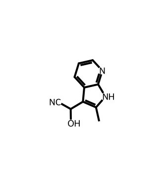 Cc1[nH]c2ncccc2c1C(O)C#N